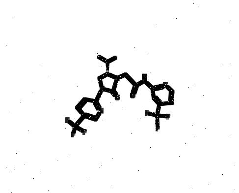 CC(C)[C@H]1CN(c2ccc(C(F)(F)F)cn2)C(=O)N1CC(=O)Nc1cc(C(F)(F)F)ccn1